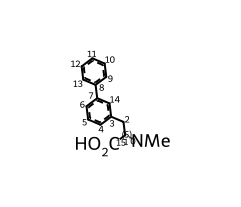 CN[C@@H](Cc1cccc(-c2ccccc2)c1)C(=O)O